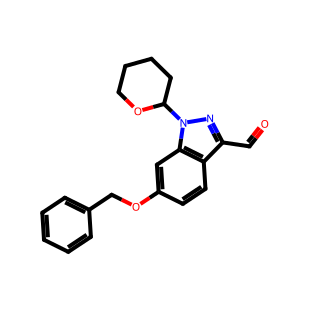 O=Cc1nn(C2CCCCO2)c2cc(OCc3ccccc3)ccc12